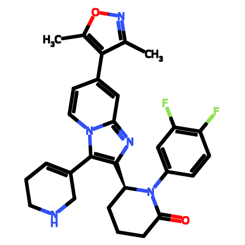 Cc1noc(C)c1-c1ccn2c(C3=CCCNC3)c([C@@H]3CCCC(=O)N3c3ccc(F)c(F)c3)nc2c1